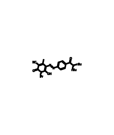 CCCCN(CCCC)C(=O)c1ccc(/N=N/c2c(C)c(C#N)c(=O)n(C(C)C)c2O)cc1